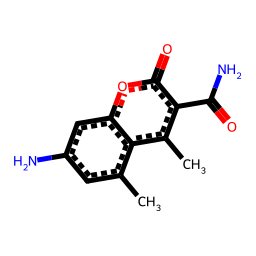 Cc1cc(N)cc2oc(=O)c(C(N)=O)c(C)c12